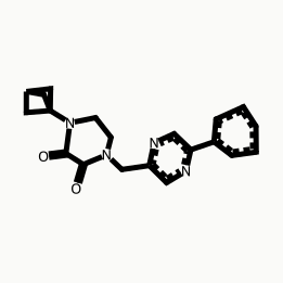 O=C1C(=O)N(C23CC(C2)C3)CCN1Cc1cnc(-c2ccccc2)cn1